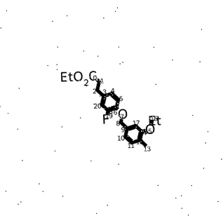 CCOC(=O)CCc1ccc(OCc2ccc(C)c(OCC)c2)c(F)c1